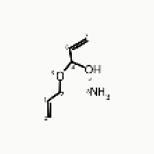 C=CCOC(O)C=C.N